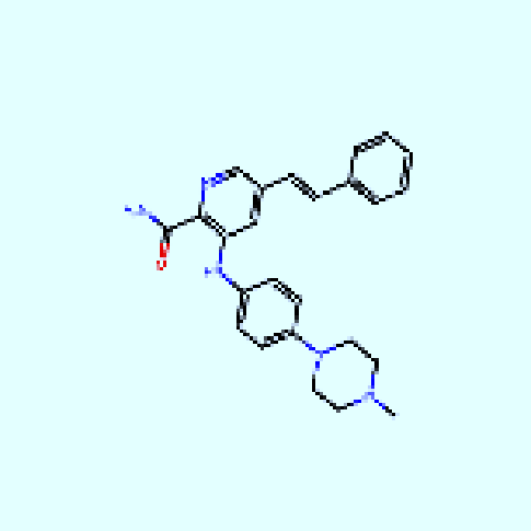 CN1CCN(c2ccc(Nc3cc(C=Cc4ccccc4)cnc3C(N)=O)cc2)CC1